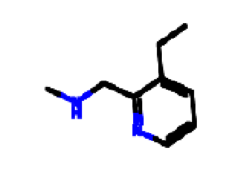 CCc1cccnc1CNC